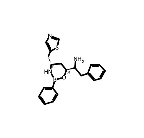 NC(Cc1ccccc1)[C@@H]1C[C@@H](Cc2cncs2)NB(c2ccccc2)O1